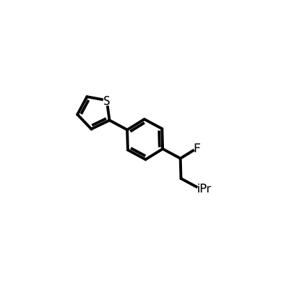 CC(C)CC(F)c1ccc(-c2cccs2)cc1